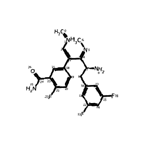 C=N/C=C(\C(=N/C)[C@@H](N)Cc1cc(F)cc(F)c1)c1ccc(F)c(C(N)=O)c1